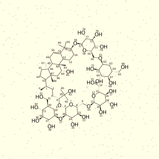 C[C@H](CC[C@@H](O[C@@H]1O[C@H](CO[C@H]2O[C@H](CO)[C@@H](O)[C@H](O)[C@H]2O)[C@@H](O)[C@H](O)[C@H]1O[C@@H]1C[C@H](CO)[C@@H](O)[C@H](O)[C@H]1O)C(C)(C)O)C1CC[C@@]2(C)C3CC=C4C(CC[C@H](O[C@@H]5O[C@H](CO[C@H]6C[C@H](CO)[C@@H](O)[C@H](O)[C@H]6O)[C@@H](O)[C@H](O)[C@H]5O)C4(C)C)[C@]3(C)[C@H](O)C[C@]12C